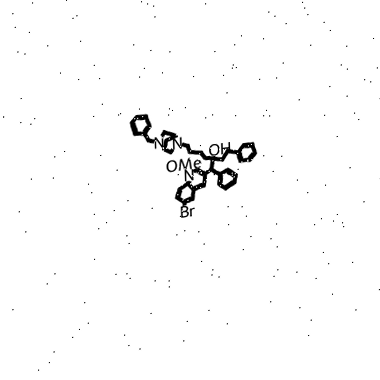 COc1nc2ccc(Br)cc2cc1C(c1ccccc1)C(O)(CCCCN1CC2CC1CN2Cc1ccccc1)CCc1ccccc1